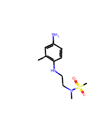 Cc1cc(N)ccc1NCCN(C)S(C)(=O)=O